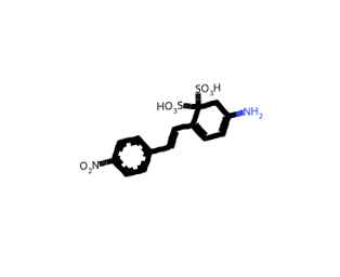 NC1=CC=C(/C=C/c2ccc([N+](=O)[O-])cc2)C(S(=O)(=O)O)(S(=O)(=O)O)C1